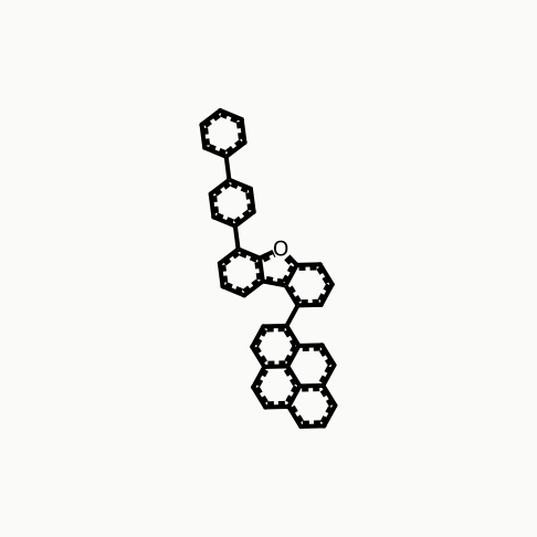 c1ccc(-c2ccc(-c3cccc4c3oc3cccc(-c5ccc6ccc7cccc8ccc5c6c78)c34)cc2)cc1